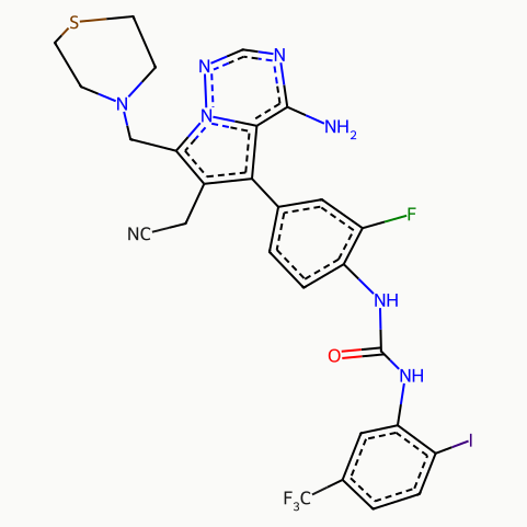 N#CCc1c(-c2ccc(NC(=O)Nc3cc(C(F)(F)F)ccc3I)c(F)c2)c2c(N)ncnn2c1CN1CCSCC1